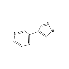 c1cncc(-c2cn[nH]c2)c1